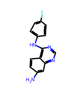 Nc1ccc2c(Nc3ccc(F)cc3)ncnc2c1